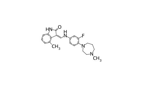 Cc1cccc2c1C(=CNc1ccc(N3CCCN(C)CC3)c(F)c1)C(=O)N2